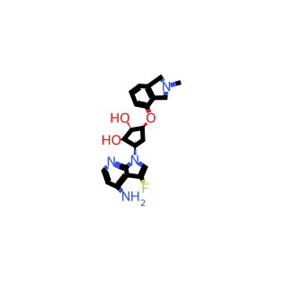 CN1Cc2cccc(O[C@H]3C[C@@H](n4cc(F)c5c(N)ccnc54)[C@H](O)[C@@H]3O)c2C1